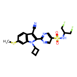 CSc1ccc2c(C#N)c(-c3ncc(S(=O)(=O)NC(CF)CF)cn3)n(C3CCC3)c2c1